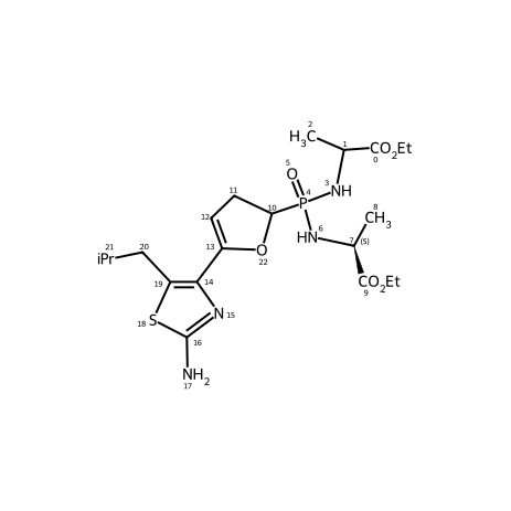 CCOC(=O)C(C)NP(=O)(N[C@@H](C)C(=O)OCC)C1CC=C(c2nc(N)sc2CC(C)C)O1